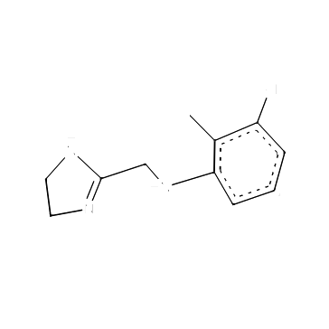 Cl.Clc1cccc(NCC2=NCCN2)c1Cl